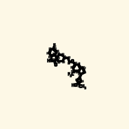 CC1(O)CC(n2cnc3cc(OCCN4CCC5(CC4)C(=O)Nc4ccc(F)cc45)cc(C(F)(F)F)c32)C1